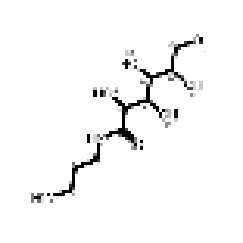 NCCCNC(=O)C(O)C(O)C(O)C(O)CO